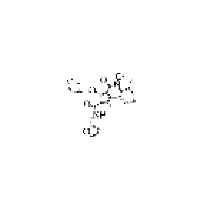 Cn1c(=O)c2c(OCc3ccccc3)c(C(=O)NCc3ccco3)sc2c2ccccc21